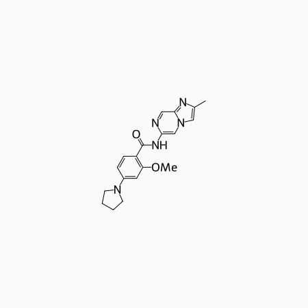 COc1cc(N2CCCC2)ccc1C(=O)Nc1cn2cc(C)nc2cn1